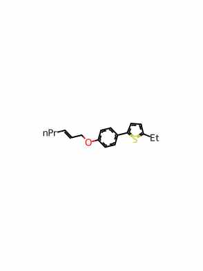 CCCC=CCOc1ccc(-c2ccc(CC)s2)cc1